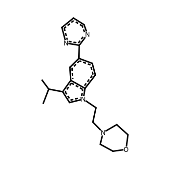 CC(C)c1cn(CCN2CCOCC2)c2ccc(-c3ncccn3)cc12